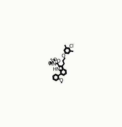 COc1ccccc1-c1cccc2c(CCCOc3cc(C)c(Cl)c(C)c3)c(C(=O)NS(C)(=O)=O)[nH]c12